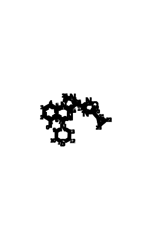 Cc1cccc2c1c(N1CCSCC1)nc1c(-c3noc(C4CC4)n3)ncn12